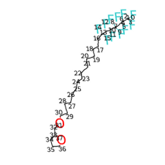 FC(F)(F)C(F)(F)C(F)(F)C(F)(F)C(F)(F)CCCCCCCCCCCCCCCOCC1CCCO1